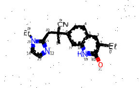 CCc1cc2ccc(C(C)(C#N)Cc3nccn3CC)cc2[nH]c1=O